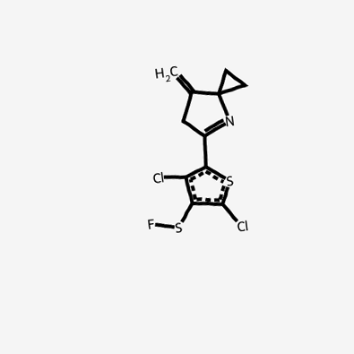 C=C1CC(c2sc(Cl)c(SF)c2Cl)=NC12CC2